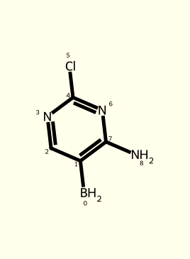 Bc1cnc(Cl)nc1N